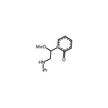 COC(CNC(C)C)n1ccccc1=O